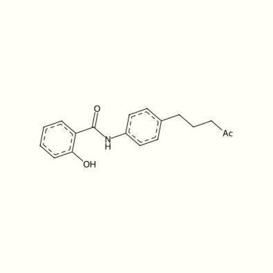 CC(=O)CCCc1ccc(NC(=O)c2ccccc2O)cc1